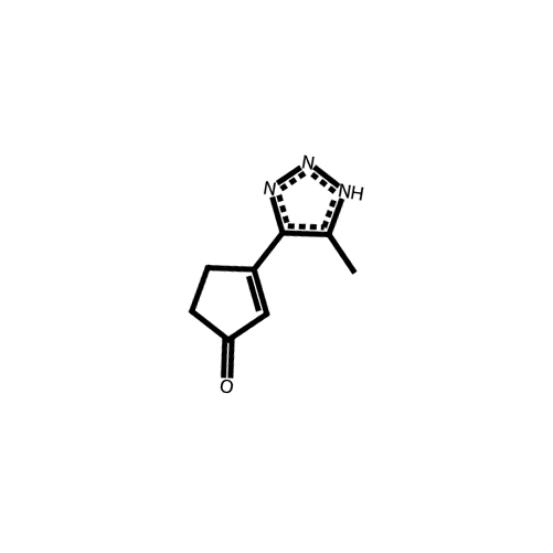 Cc1[nH]nnc1C1=CC(=O)CC1